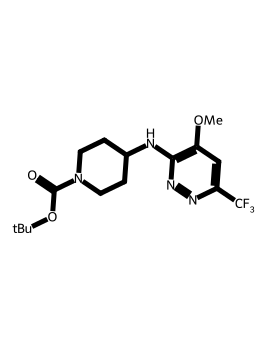 COc1cc(C(F)(F)F)nnc1NC1CCN(C(=O)OC(C)(C)C)CC1